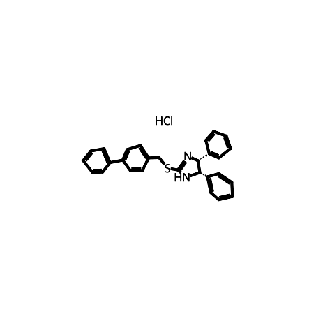 Cl.c1ccc(-c2ccc(CSC3=N[C@H](c4ccccc4)[C@H](c4ccccc4)N3)cc2)cc1